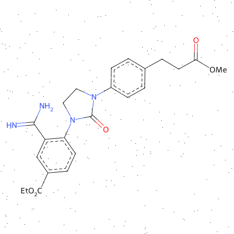 CCOC(=O)c1ccc(N2CCN(c3ccc(CCC(=O)OC)cc3)C2=O)c(C(=N)N)c1